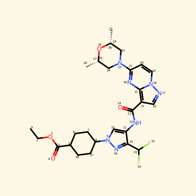 CCOC(=O)C1CCC(n2cc(NC(=O)c3cnn4ccc(N5C[C@@H](C)O[C@@H](C)C5)nc34)c(C(F)F)n2)CC1